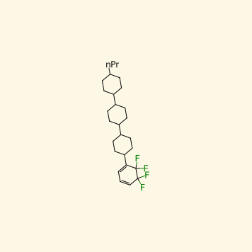 CCCC1CCC(C2CCC(C3CCC(C4=CC=CC(F)(F)C4(F)F)CC3)CC2)CC1